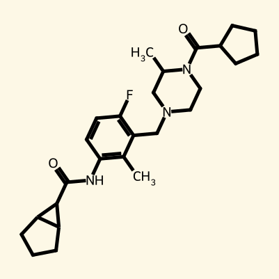 Cc1c(NC(=O)C2C3CCCC32)ccc(F)c1CN1CCN(C(=O)C2CCCC2)C(C)C1